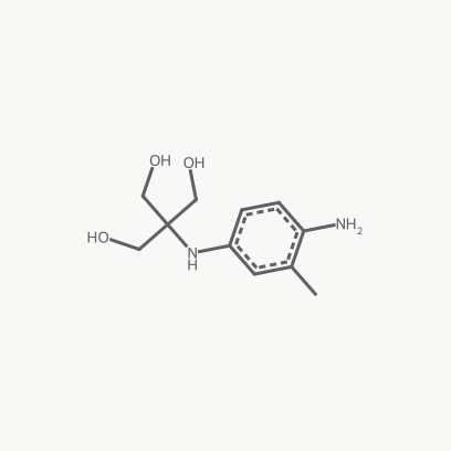 Cc1cc(NC(CO)(CO)CO)ccc1N